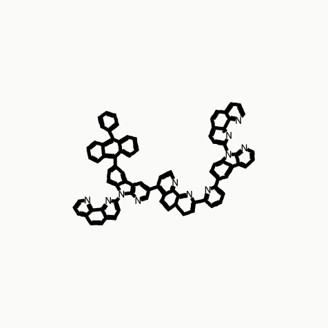 C1=CC2CC=C(c3cccc(-c4ccc5c(c4)c4cccnc4n5-c4ccc5ccc6cccnc6c5n4)n3)N=C2c2nccc(-c3cnc4c(c3)c3cc(-c5c6ccccc6c(-c6ccccc6)c6ccccc56)ccc3n4-c3ccc4ccc5cccnc5c4n3)c21